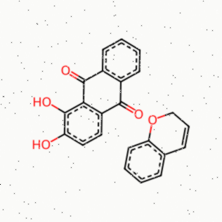 C1=Cc2ccccc2OC1.O=C1c2ccccc2C(=O)c2c1ccc(O)c2O